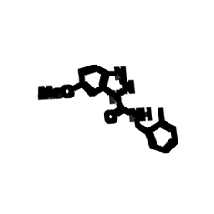 COc1ccc2nnn(C(=O)NCc3ccccc3C)c2c1